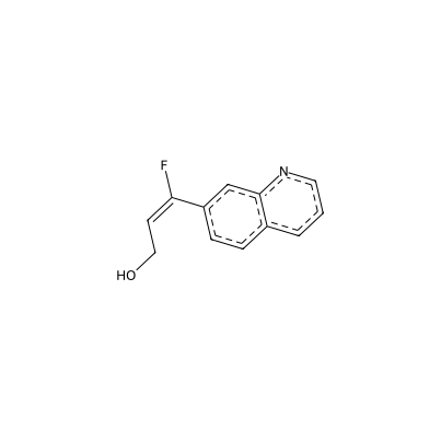 OC/C=C(/F)c1ccc2cccnc2c1